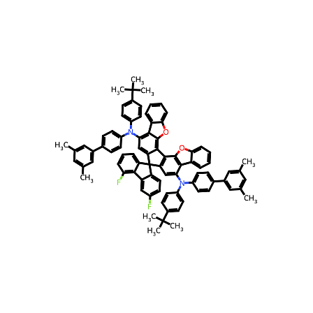 Cc1cc(C)cc(-c2ccc(N(c3ccc(C(C)(C)C)cc3)c3cc4c(c5oc6ccccc6c35)-c3c(cc(N(c5ccc(-c6cc(C)cc(C)c6)cc5)c5ccc(C(C)(C)C)cc5)c5c3oc3ccccc35)C43c4ccc(F)cc4-c4c(F)cccc43)cc2)c1